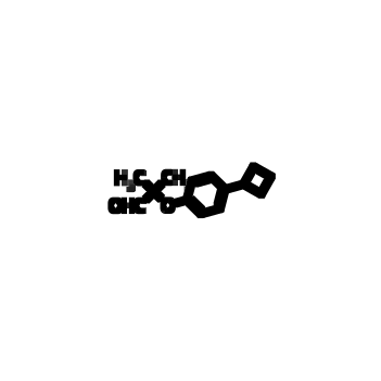 CC(C)(C=O)Oc1ccc(C2CCC2)cc1